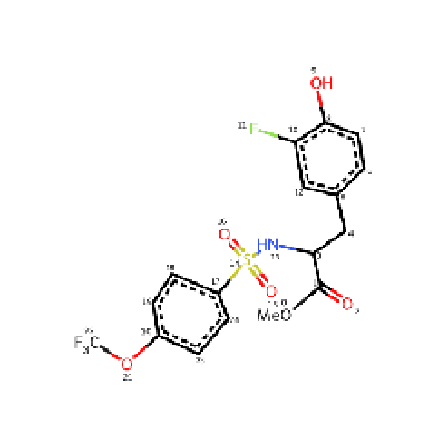 COC(=O)C(Cc1ccc(O)c(F)c1)NS(=O)(=O)c1ccc(OC(F)(F)F)cc1